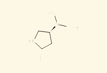 C[C@H]1C[C@H](N(C(=O)O)C(C)(C)C)CN1